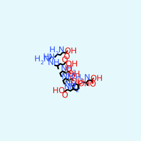 CC(C)C(N)C(=O)O.CC(C)CC(N)C(=O)O.N=C(N)NCCCC(N)C(=O)O.NC(Cc1ccc(O)cc1)C(=O)O.O=C(O)[C@@H]1CCCN1.O=C(O)[C@@H]1CCCN1